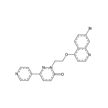 O=c1ccc(-c2ccncc2)nn1CCOc1ccnc2cc(Br)ccc12